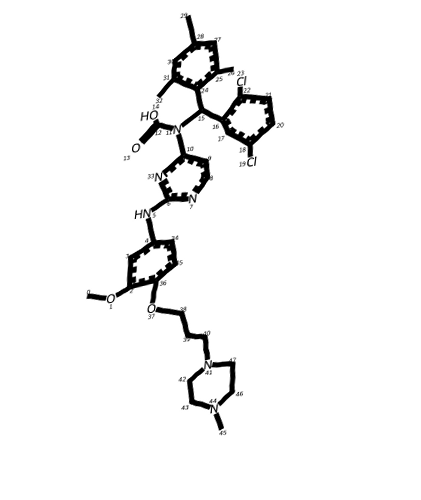 COc1cc(Nc2nccc(N(C(=O)O)C(c3cc(Cl)ccc3Cl)c3c(C)cc(C)cc3C)n2)ccc1OCCCN1CCN(C)CC1